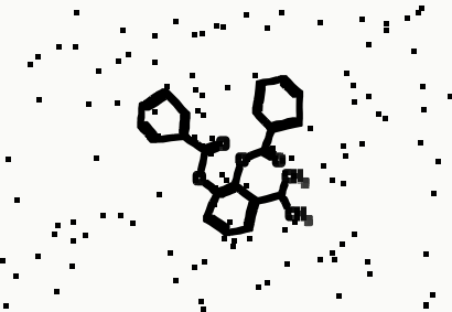 CC(C)c1cccc(OC(=O)c2ccccc2)c1OC(=O)c1ccccc1